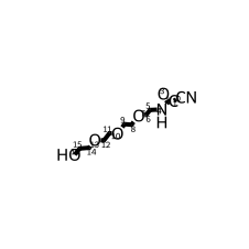 N#CCC(=O)NCCOCCOCCOCCO